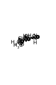 COc1cc(NCc2ccc(/C=C/C(=O)Nc3ccccc3N)cc2[N+](=O)[O-])cc(OC)c1OC